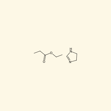 C1=NCCN1.CCOC(=O)CC